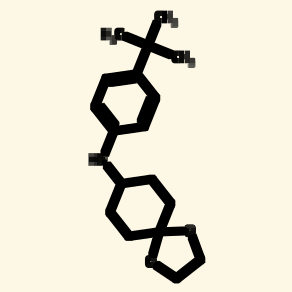 CC(C)(C)c1ccc(NC2CCC3(CC2)OCCO3)cc1